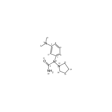 CN(C)c1cccc(N(C(N)=O)N2CCCC2)c1